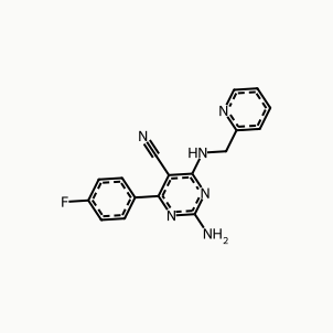 N#Cc1c(NCc2ccccn2)nc(N)nc1-c1ccc(F)cc1